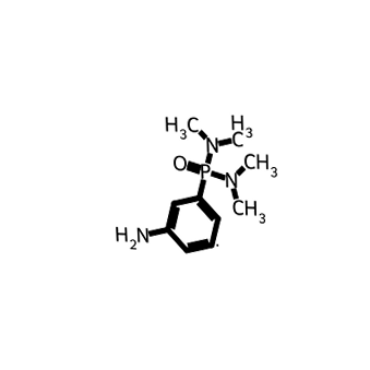 CN(C)P(=O)(c1c[c]cc(N)c1)N(C)C